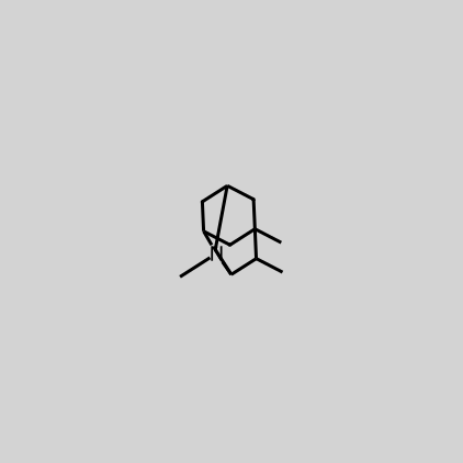 CC1C2CC3CC(CC1(C)C3)N2C